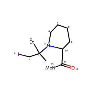 CCC(C)(CI)N1CCCCC1C(=O)NC